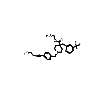 CCOC(=O)C1(Cc2cccc(C(F)(F)F)c2)CCN(Cc2ccc(C#CCCO)cc2)CC1